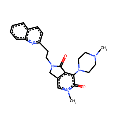 CN1CCN(c2c3c(cn(C)c2=O)CN(CCc2ccc4ccccc4n2)C3=O)CC1